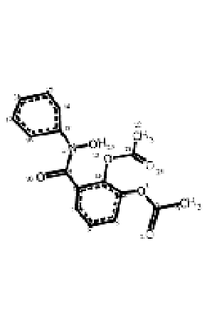 CC(=O)Oc1cccc(C(=O)N(O)c2ccccc2)c1OC(C)=O